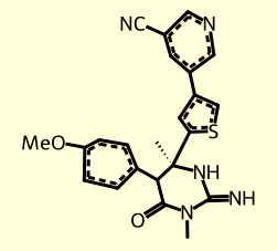 COc1ccc(C2C(=O)N(C)C(=N)N[C@]2(C)c2cc(-c3cncc(C#N)c3)cs2)cc1